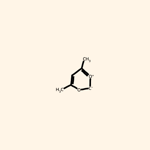 CC1=CC(C)=[O+][CH-]O1